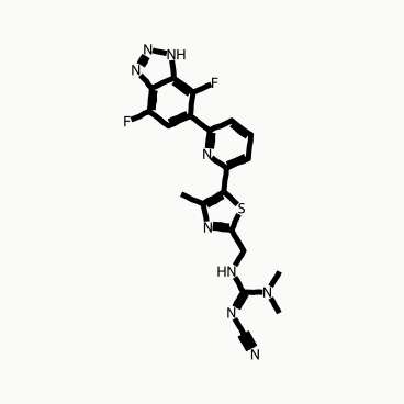 Cc1nc(CN/C(=N/C#N)N(C)C)sc1-c1cccc(-c2cc(F)c3nn[nH]c3c2F)n1